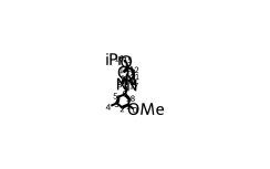 COc1cc(C)cc(-c2ncn(/C=C\C(=O)OC(C)C)n2)c1